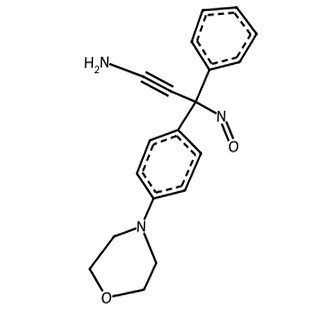 NC#CC(N=O)(c1ccccc1)c1ccc(N2CCOCC2)cc1